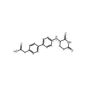 O=C(O)Cc1ccc(-c2ccc(NC3CCC(=O)NC3=O)cc2)cc1